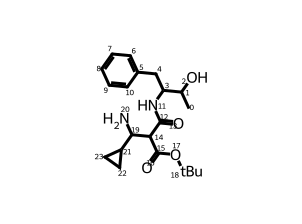 CC(O)C(Cc1ccccc1)NC(=O)C(C(=O)OC(C)(C)C)C(N)C1CC1